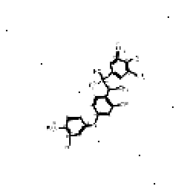 Cc1cc([C@@](O)([C@@H](C)c2ccc(Oc3ccc(C(=O)O)c(F)c3)cc2Cl)C(F)(F)F)cc(C)c1C#N